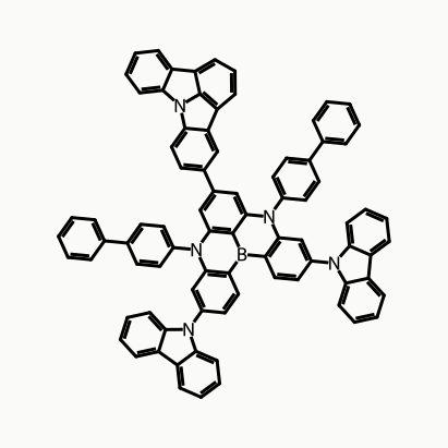 c1ccc(-c2ccc(N3c4cc(-n5c6ccccc6c6ccccc65)ccc4B4c5ccc(-n6c7ccccc7c7ccccc76)cc5N(c5ccc(-c6ccccc6)cc5)c5cc(-c6ccc7c(c6)c6cccc8c9ccccc9n7c86)cc3c54)cc2)cc1